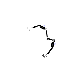 C/C=N\S/N=C\C